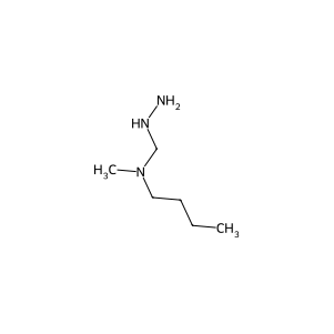 CCCCN(C)CNN